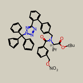 CC(C)[C@@H](C(=O)OC(C)(C)C)N(Cc1ccc(-c2ccccc2-c2nnn(C(c3ccccc3)(c3ccccc3)c3ccccc3)n2)cc1)C(=O)c1cccc(CO[N+](=O)[O-])c1